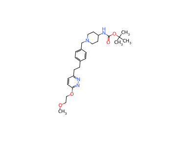 COCCOc1ccc(CCc2ccc(CN3CCC(NC(=O)OC(C)(C)C)CC3)cc2)nn1